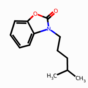 CC(C)CCCn1c(=O)oc2ccccc21